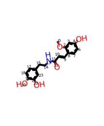 COc1cc(O)ccc1C=CC(=O)NCCc1ccc(O)c(O)c1